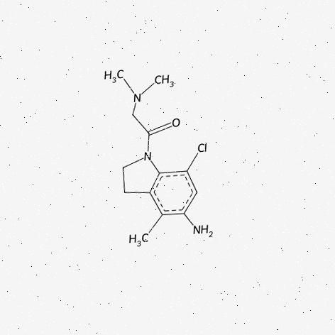 Cc1c(N)cc(Cl)c2c1CCN2C(=O)CN(C)C